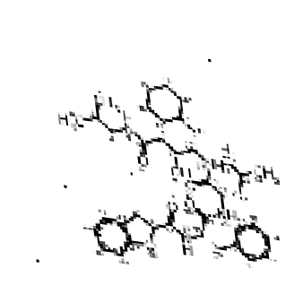 CC(C)CNC(=O)C[C@H](O)[C@H](CC1CCCCC1)NC(=O)[C@H](CC(C)C)NC(=O)[C@H](Cc1ccccc1)NC(=O)C1Cc2ccccc2O1